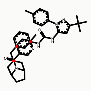 Cc1ccc(-n2nc(C(C)(C)C)cc2NC(=O)Nc2cccc(CC3CC4CCC(C3)N4C(=O)c3cnc(C)cn3)c2)cc1